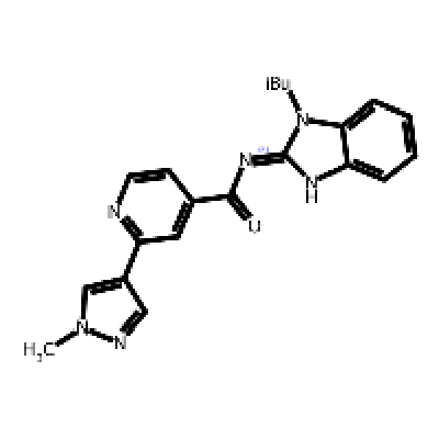 CCC(C)n1/c(=N/C(=O)c2ccnc(-c3cnn(C)c3)c2)[nH]c2ccccc21